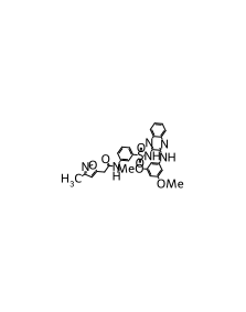 COc1cc(Nc2nc3ccccc3nc2NS(=O)(=O)c2cccc(NC(=O)Cc3cc(C)no3)c2)cc(OC)c1